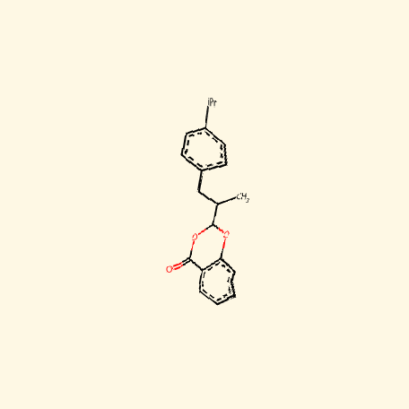 CC(C)c1ccc(CC(C)C2OC(=O)c3ccccc3O2)cc1